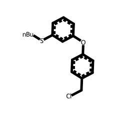 CCCCSc1cccc(Oc2ccc(CCl)cc2)c1